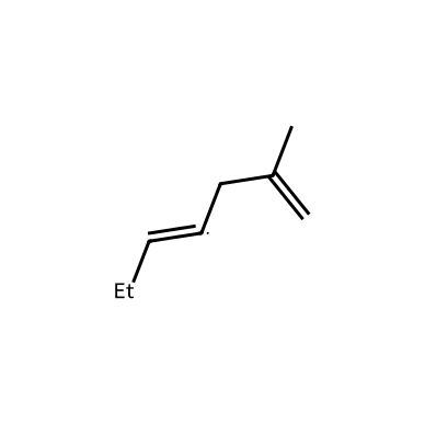 C=C(C)C/[C]=C/CC